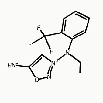 CCN(c1ccccc1C(F)(F)F)[n+]1cc([NH-])on1